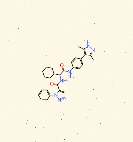 Cc1n[nH]c(C)c1-c1ccc(NC(=O)[C@@H](NC(=O)c2cnnn2-c2ccccc2)C2CCCCC2)cc1